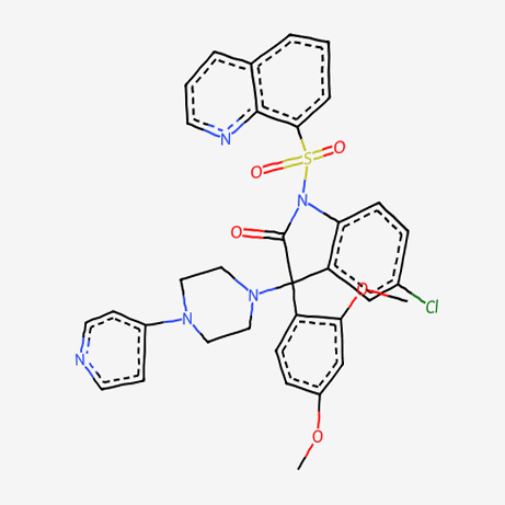 COc1ccc(C2(N3CCN(c4ccncc4)CC3)C(=O)N(S(=O)(=O)c3cccc4cccnc34)c3ccc(Cl)cc32)c(OC)c1